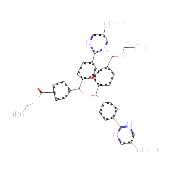 CCCCCc1cnc(-c2ccc(C(OC(c3ccc(C(=O)OCC(C)CC)cc3)c3ccc(-c4ncc(CCCCC)cn4)cc3)c3ccc(C(=O)OCC(C)CC)cc3)cc2)nc1